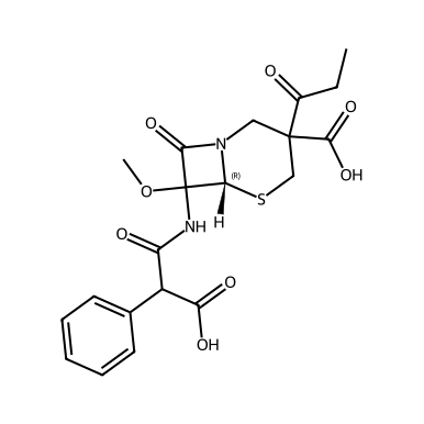 CCC(=O)C1(C(=O)O)CS[C@H]2N(C1)C(=O)C2(NC(=O)C(C(=O)O)c1ccccc1)OC